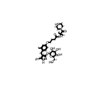 Cc1cc(OCCCC(=O)NC(C)(C)C(=O)N2CCNCC2)ccc1Cc1c(O[C@@H]2O[C@H](CO)[C@@H](O)[C@H](O)[C@H]2O)n[nH]c1C(C)C